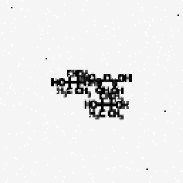 CC(C)(O)C(C)(C)O.CC(C)(O)C(C)(C)O.OB(O)OB(O)O